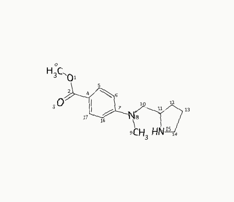 COC(=O)c1ccc(N(C)CC2CCCN2)cc1